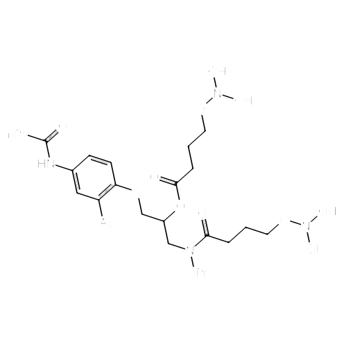 CCCC(=O)Nc1ccc(OCC(CN(C(=O)CCCON(O)O)C(C)C)OC(=O)CCCON(O)O)c(C(C)=O)c1